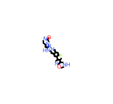 Cc1c(-c2cc3cc(Nc4cc5n(n4)CC(=O)N(C)CC5)ncc3cc2F)cnc2c1CNCCO2